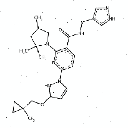 CC1CN(c2nc(N3C=CC(OCC4(C(F)(F)F)CC4)N3)ccc2C(=O)NSc2cn[nH]c2)C(C)(C)C1